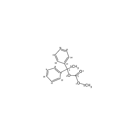 COC(=O)OC(C)(c1ccccc1)c1ccccc1